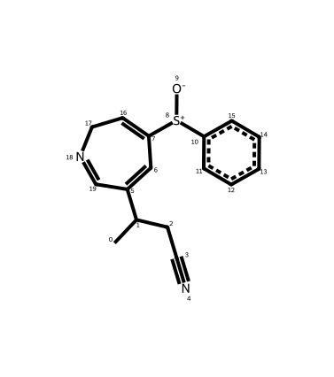 CC(CC#N)C1=CC([S+]([O-])c2ccccc2)=CCN=C1